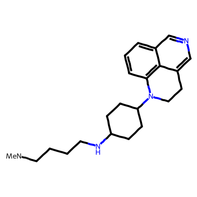 CNCCCCNC1CCC(N2CCc3cncc4cccc2c34)CC1